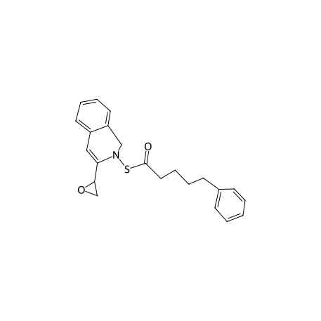 O=C(CCCCc1ccccc1)SN1Cc2ccccc2C=C1C1CO1